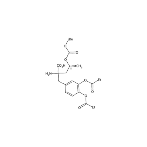 CCC(=O)Oc1ccc(CC(N)(C[C@H](C)OC(=O)OC(C)CC)C(=O)O)cc1OC(=O)CC